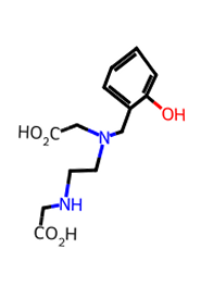 O=C(O)CNCCN(CC(=O)O)Cc1ccccc1O